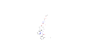 COc1ccccc1C(=O)NCC1(c2ccccc2)CCC(OC(=O)NCCOCC(C)=O)CC1